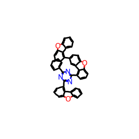 c1ccc(-c2nc(-c3cccc4oc5ccccc5c34)nc(-c3cccc4oc5ccc(-c6cccc7oc8ccccc8c67)cc5c34)n2)cc1